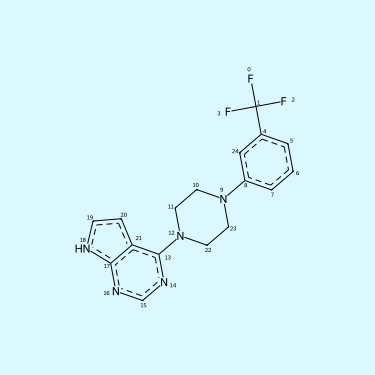 FC(F)(F)c1cccc(N2CCN(c3ncnc4[nH]ccc34)CC2)c1